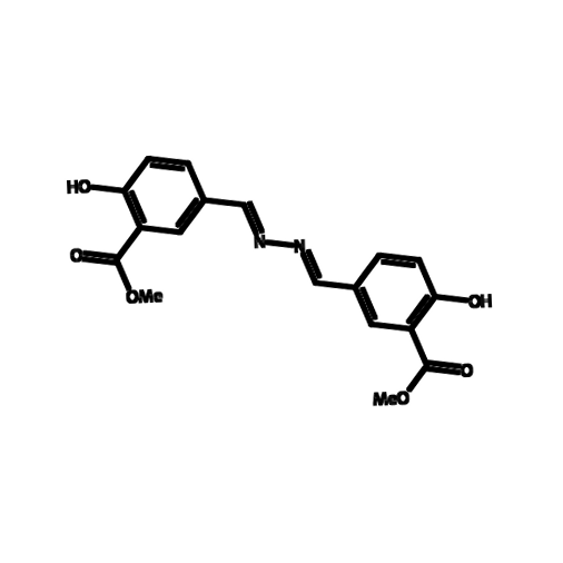 COC(=O)c1cc(/C=N/N=C/c2ccc(O)c(C(=O)OC)c2)ccc1O